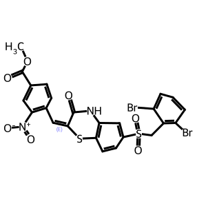 COC(=O)c1ccc(/C=C2/Sc3ccc(S(=O)(=O)Cc4c(Br)cccc4Br)cc3NC2=O)c([N+](=O)[O-])c1